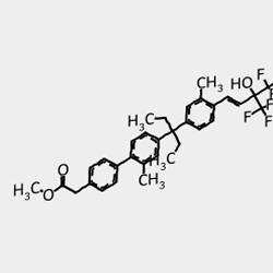 CCC(CC)(c1ccc(C=CC(O)(C(F)(F)F)C(F)(F)F)c(C)c1)c1ccc(-c2ccc(CC(=O)OC)cc2)c(C)c1